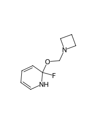 FC1(OCN2CCC2)C=CC=CN1